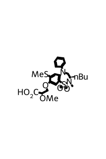 CCCC[C@@H]1CN(c2ccccc2)c2cc(SC)c(OC[C@H](OC)C(=O)O)cc2S(=O)(=O)N1C